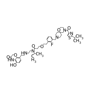 CC(C)c1nc(C(=O)N2CCOC3(CCN(Cc4cccc(CCOCCC(=O)N(CCNCCc5ccc(O)c6c5OCC(=O)N6)C(C)C)c4F)CC3)C2)cs1